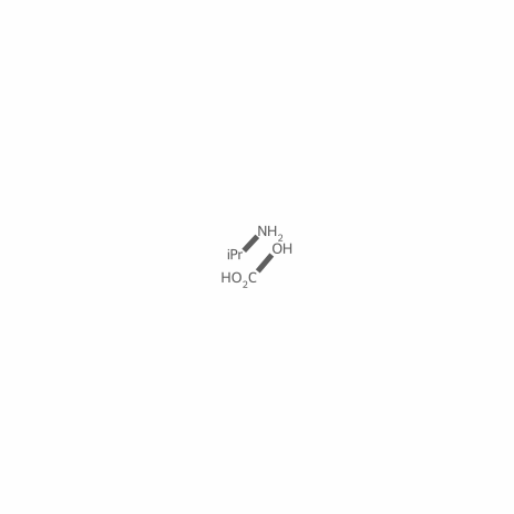 CC(C)N.O=C(O)O